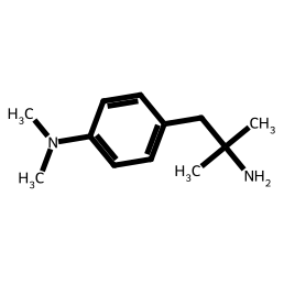 CN(C)c1ccc(CC(C)(C)N)cc1